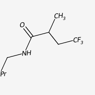 CC(C)CNC(=O)C(C)CC(F)(F)F